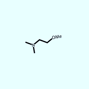 [CH2]OCCN(C)C